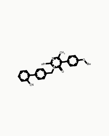 CCCc1nc(C)c(-c2ccc(OC(C)CC)cc2)c(=O)n1Cc1ccc(-c2ccccc2C#N)cc1